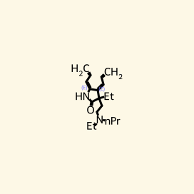 C=C/C=C1\C(=C/C=C)NC(=O)C1(CC)CCN(CC)CCC